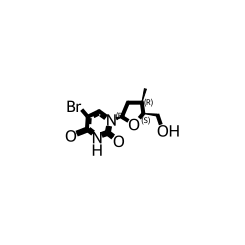 C[C@@H]1C[C@H](n2cc(Br)c(=O)[nH]c2=O)O[C@@H]1CO